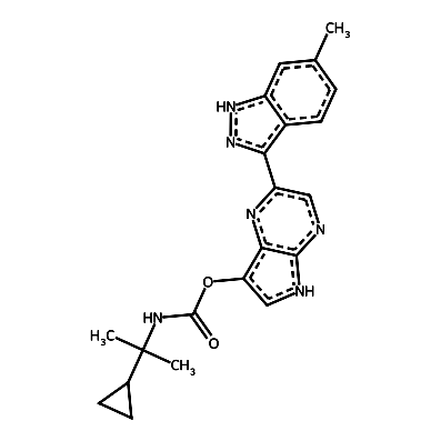 Cc1ccc2c(-c3cnc4[nH]cc(OC(=O)NC(C)(C)C5CC5)c4n3)n[nH]c2c1